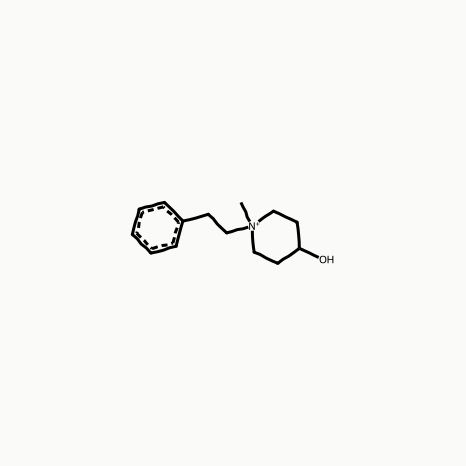 C[N+]1(CCc2ccccc2)CCC(O)CC1